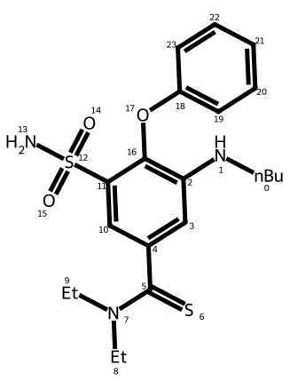 CCCCNc1cc(C(=S)N(CC)CC)cc(S(N)(=O)=O)c1Oc1ccccc1